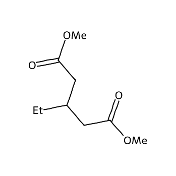 CCC(CC(=O)OC)CC(=O)OC